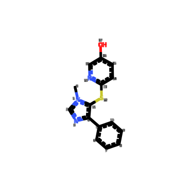 Cn1cnc(-c2ccccc2)c1Sc1ccc(O)cn1